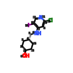 O[C@H]1CC[C@H](CNc2cc(Cl)ncc2I)CC1